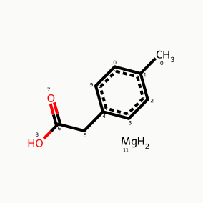 Cc1ccc(CC(=O)O)cc1.[MgH2]